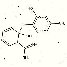 Cc1ccc(OC2(O)C=CC=CC2C(=N)N)c(O)c1